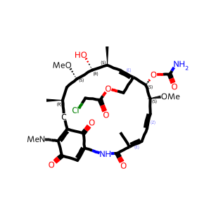 CNC1=C2C[C@@H](C)C[C@H](OC)[C@H](O)[C@@H](C)/C=C(\COC(=O)CCl)[C@H](OC(N)=O)[C@@H](OC)/C=C\C=C(/C)C(=O)NC(=CC1=O)C2=O